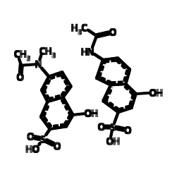 CC(=O)N(C)c1ccc2c(O)cc(S(=O)(=O)O)cc2c1.CC(=O)Nc1ccc2c(O)cc(S(=O)(=O)O)cc2c1